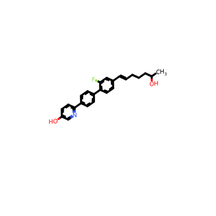 CC(O)CCCC=Cc1ccc(-c2ccc(-c3ccc(O)cn3)cc2)c(F)c1